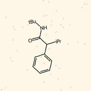 CC(C)C(C(=O)NC(C)(C)C)c1ccccc1